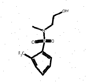 CN(CCO)S(=O)(=O)c1ccccc1C(F)(F)F